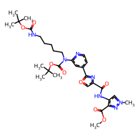 COC(=O)c1nn(C)cc1NC(=O)c1coc(-c2ccnc(N(CCCCCNC(=O)OC(C)(C)C)C(=O)OC(C)(C)C)c2)n1